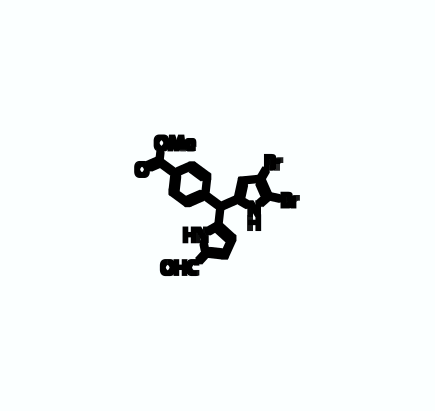 COC(=O)c1ccc(C(c2ccc(C=O)[nH]2)c2cc(Br)c(Br)[nH]2)cc1